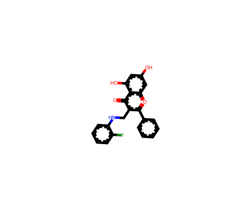 O=c1c(CNc2ccccc2F)c(-c2ccccc2)oc2cc(O)cc(O)c12